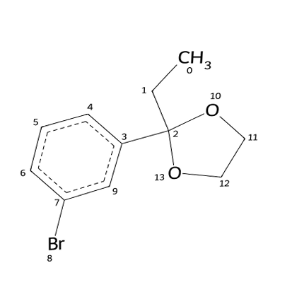 CCC1(c2cccc(Br)c2)OCCO1